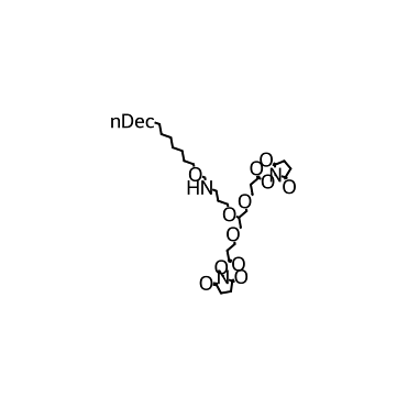 CCCCCCCCCCCCCCCCCOCNCCCOC(COCCC(=O)ON1C(=O)CCC1=O)COCCC(=O)ON1C(=O)CCC1=O